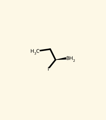 B[C@@H](I)CC